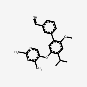 COc1cc(C(C)C)c(Oc2cnc(N)nc2N)cc1-c1cccc(C=N)c1